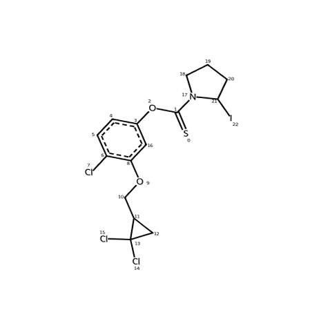 S=C(Oc1ccc(Cl)c(OCC2CC2(Cl)Cl)c1)N1CCCC1I